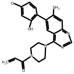 C=CC(=O)N1CCN(c2ncnc3cc([SiH3])c(-c4ccc(Cl)cc4O)cc23)CC1